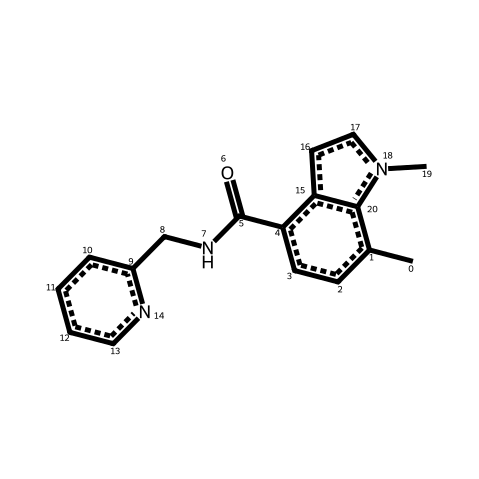 Cc1ccc(C(=O)NCc2ccccn2)c2ccn(C)c12